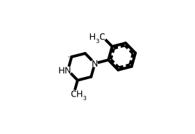 Cc1ccccc1N1C[CH]NC(C)C1